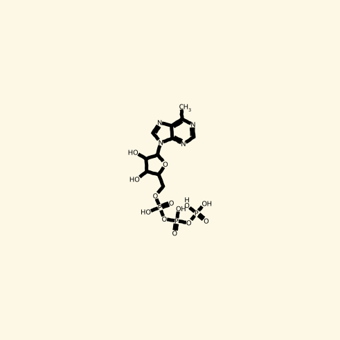 Cc1ncnc2c1ncn2C1OC(COP(=O)(O)OP(=O)(O)OP(=O)(O)O)C(O)C1O